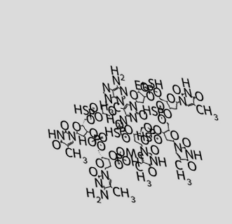 CC[C@H]1O[C@@H](n2cc(C)c(N)nc2=O)CC1OP(=O)(S)OC[C@H]1O[C@@H](n2cc(C)c(=O)[nH]c2=O)CC1OP(=O)(S)OC[C@H]1O[C@@H](n2cc(C)c(=O)[nH]c2=O)CC1OP(=O)(S)OC[C@H]1O[C@@H](n2cc(C)c(=O)[nH]c2=O)CC1OP(=O)(S)OC[C@H]1O[C@@H](n2cnc3c(N)ncnc32)CC1OP(=O)(S)OC[C@H]1O[C@@H](n2cc(C)c(=O)[nH]c2=O)CC1OP(=O)(O)OC[C@H]1O[C@@H](n2cc(C)c(N)nc2=O)CC1OP(=O)(O)OC